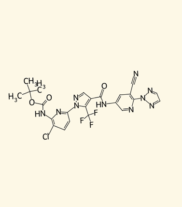 CC(C)(C)OC(=O)Nc1nc(-n2ncc(C(=O)Nc3cnc(-n4nccn4)c(C#N)c3)c2C(F)(F)F)ccc1Cl